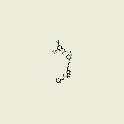 Cc1cc(C2CC2)cc(CC(=O)Nc2ccc(CCCCc3nnc(NC(=O)Cc4ccccn4)s3)nn2)n1